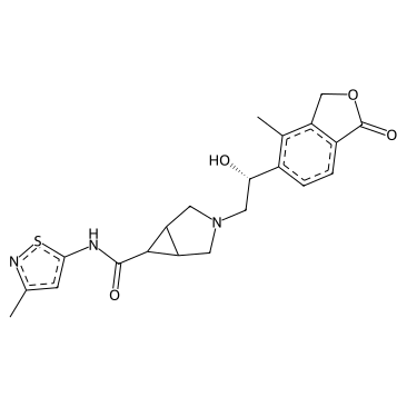 Cc1cc(NC(=O)C2C3CN(C[C@H](O)c4ccc5c(c4C)COC5=O)CC32)sn1